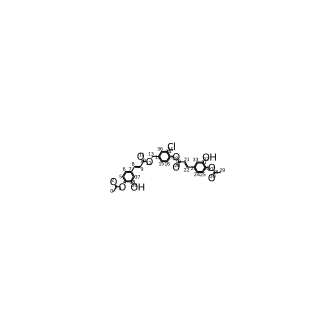 CC(=O)Oc1ccc(/C=C/C(=O)OCc2ccc(OC(=O)/C=C/c3ccc(OC(C)=O)c(O)c3)c(Cl)c2)cc1O